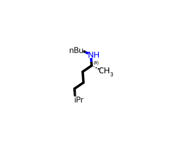 CCCCN[C@H](C)CCCC(C)C